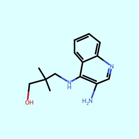 CC(C)(CO)CNc1c(N)cnc2ccccc12